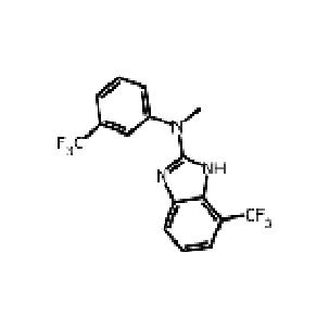 CN(c1cccc(C(F)(F)F)c1)c1nc2cccc(C(F)(F)F)c2[nH]1